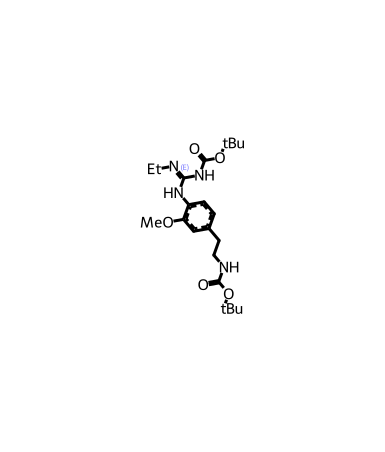 CC/N=C(/NC(=O)OC(C)(C)C)Nc1ccc(CCNC(=O)OC(C)(C)C)cc1OC